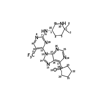 CC1(C)CC[C@H](Nc2ncc(C(F)(F)F)c(-n3cnc4c(P5(=O)CCCC5)ncnc43)n2)CN1